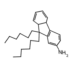 CCCCCCC1(CCCCCC)c2cc(N)ccc2C2C=CC=CC21